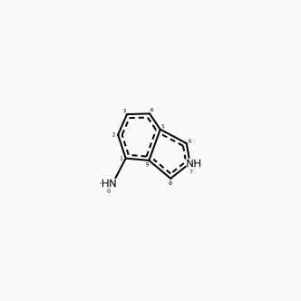 [NH]c1cccc2c[nH]cc12